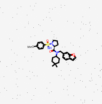 COc1ccc(S(=N)(=O)N2CCC[C@H]2C(=O)N(Cc2ccc3ccoc3c2)C2CCC(C)(C)CC2)cc1